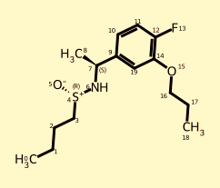 CCCC[S@+]([O-])N[C@@H](C)c1ccc(F)c(OCCC)c1